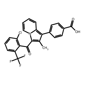 Cc1c(-c2ccc(C(=O)O)cc2)c2ccccn2c1C(=O)c1c(Cl)cccc1C(F)(F)F